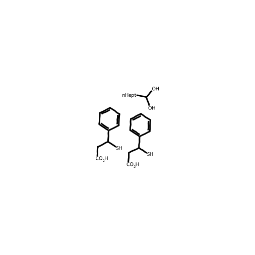 CCCCCCCC(O)O.O=C(O)CC(S)c1ccccc1.O=C(O)CC(S)c1ccccc1